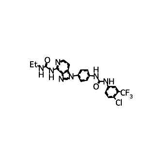 CCNC(=O)Nc1nccc2c1ncn2-c1ccc(NC(=O)Nc2ccc(Cl)c(C(F)(F)F)c2)cc1